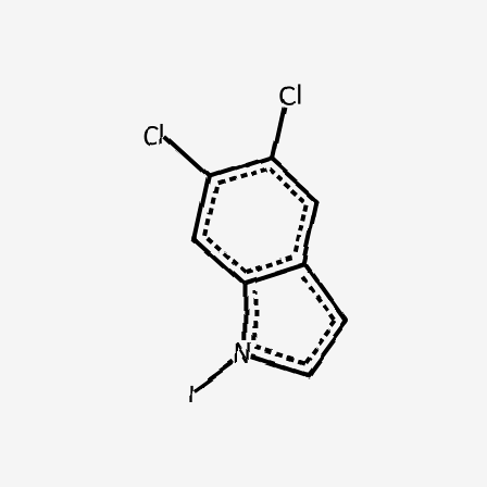 Clc1cc2ccn(I)c2cc1Cl